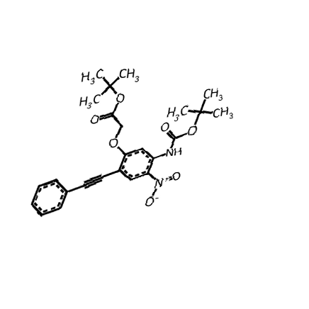 CC(C)(C)OC(=O)COc1cc(NC(=O)OC(C)(C)C)c([N+](=O)[O-])cc1C#Cc1ccccc1